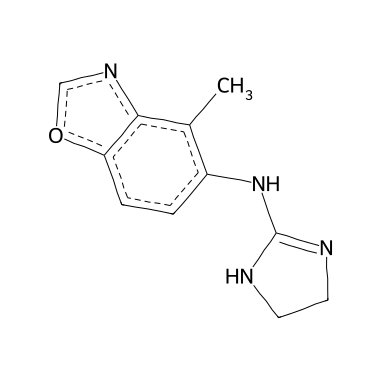 Cc1c(NC2=NCCN2)ccc2ocnc12